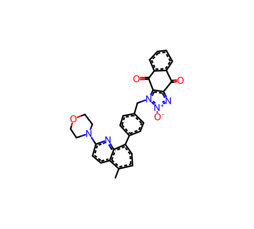 Cc1ccc(-c2ccc(Cn3c4c(n[n+]3[O-])C(=O)c3ccccc3C4=O)cc2)c2nc(N3CCOCC3)ccc12